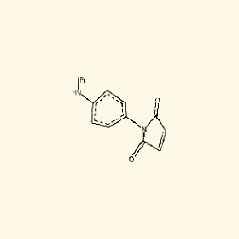 CC(C)Nc1ccc(N2C(=O)C=CC2=O)cc1